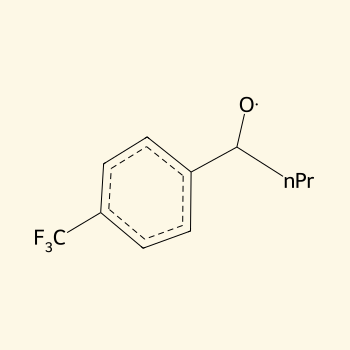 CCCC([O])c1ccc(C(F)(F)F)cc1